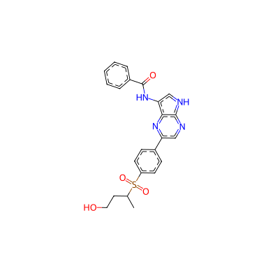 CC(CCO)S(=O)(=O)c1ccc(-c2cnc3[nH]cc(NC(=O)c4ccccc4)c3n2)cc1